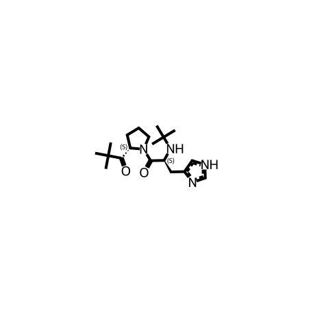 CC(C)(C)N[C@@H](Cc1c[nH]cn1)C(=O)N1CCC[C@H]1C(=O)C(C)(C)C